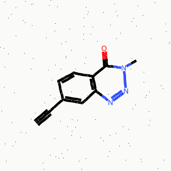 C#Cc1ccc2c(=O)n(C)nnc2c1